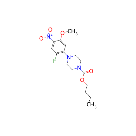 CCCCOC(=O)N1CCN(c2cc(OC)c([N+](=O)[O-])cc2F)CC1